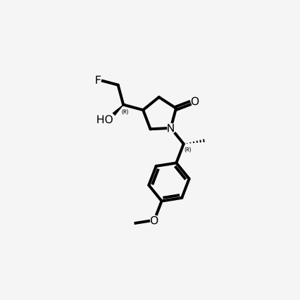 COc1ccc([C@@H](C)N2CC([C@@H](O)CF)CC2=O)cc1